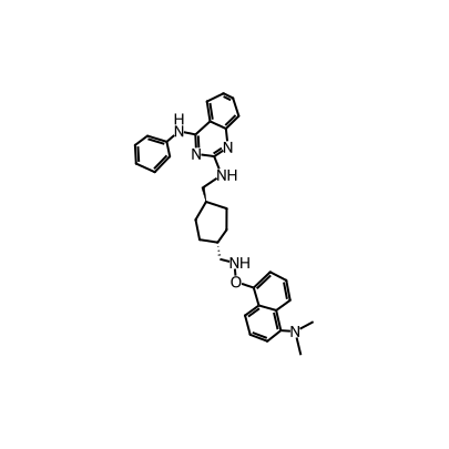 CN(C)c1cccc2c(ONC[C@H]3CC[C@H](CNc4nc(Nc5ccccc5)c5ccccc5n4)CC3)cccc12